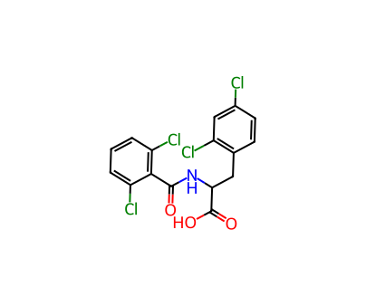 O=C(NC(Cc1ccc(Cl)cc1Cl)C(=O)O)c1c(Cl)cccc1Cl